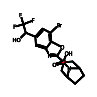 O=C(O)N1C2CCC1CN(c1nc3cc(C(O)C(F)(F)F)cc(Br)c3o1)C2